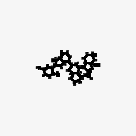 O[C@]12CCN(c3nc(-c4ccnc5[nH]c(-c6cc(F)ccc6Cl)cc45)nc4cncc(C5CC5)c34)C1CCNC2